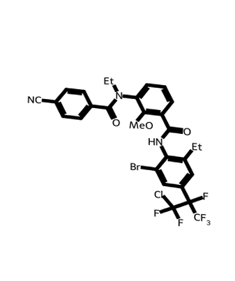 CCc1cc(C(F)(C(F)(F)F)C(F)(F)Cl)cc(Br)c1NC(=O)c1cccc(N(CC)C(=O)c2ccc(C#N)cc2)c1OC